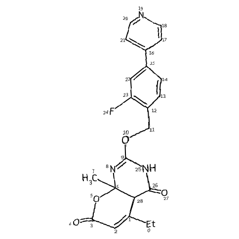 CCC1=CC(=O)OC2(C)N=C(OCc3ccc(-c4ccncc4)cc3F)NC(=O)C12